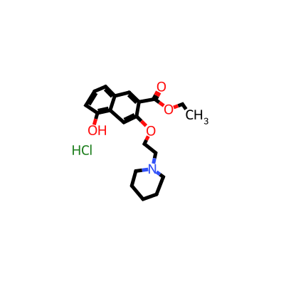 CCOC(=O)c1cc2cccc(O)c2cc1OCCN1CCCCC1.Cl